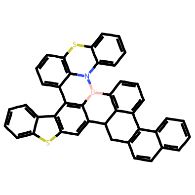 c1ccc2c(c1)Sc1cccc3c1N2B1c2cccc4c2C(Cc2ccc5ccccc5c2-4)c2cc4sc5ccccc5c4c-3c21